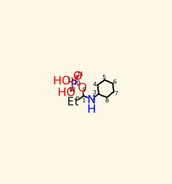 CCC(NC1CCCCC1)OP(=O)(O)O